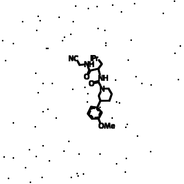 COc1cccc(C2CCCN(C(=O)NC(CC(C)C)C(=O)NCC#N)C2)c1